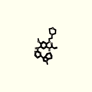 C=CC(=O)Nc1cc(Nc2nccc(-c3cn(C)c4ccccc34)n2)c(OC)cc1OCCN1CCOCC1